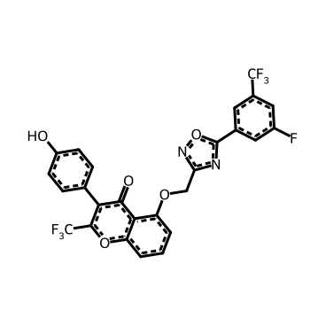 O=c1c(-c2ccc(O)cc2)c(C(F)(F)F)oc2cccc(OCc3noc(-c4cc(F)cc(C(F)(F)F)c4)n3)c12